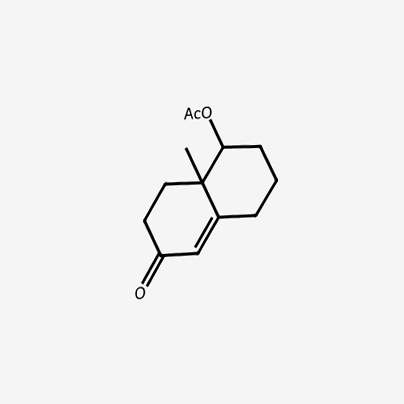 CC(=O)OC1CCCC2=CC(=O)CCC21C